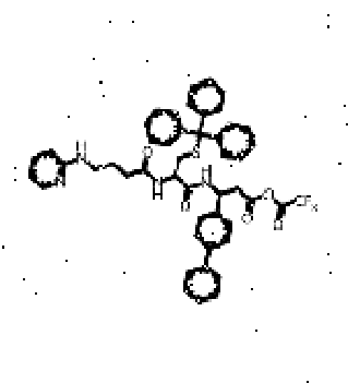 O=C(CCCNc1ccccn1)N[C@@H](CSC(c1ccccc1)(c1ccccc1)c1ccccc1)C(=O)NC(CC(=O)OC(=O)C(F)(F)F)c1ccc(-c2ccccc2)cc1